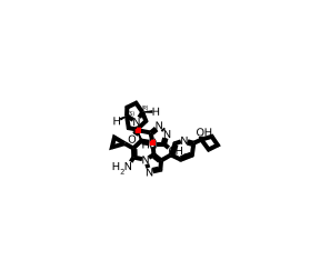 Cc1nnc(C(=O)N2[C@@H]3CC[C@H]2C[C@H](c2nc4c(-c5ccc(C6(O)CCC6)nc5)cnn4c(N)c2C2CC2)C3)[nH]1